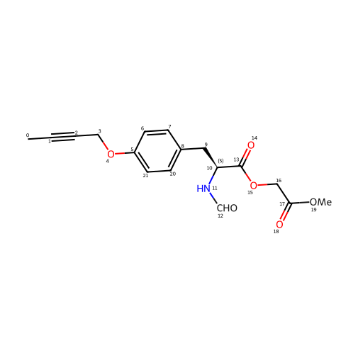 CC#CCOc1ccc(C[C@H](NC=O)C(=O)OCC(=O)OC)cc1